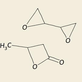 C1OC1C1CO1.CC1CC(=O)O1